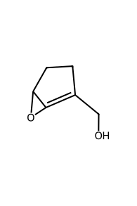 OCC1=C2OC2CC1